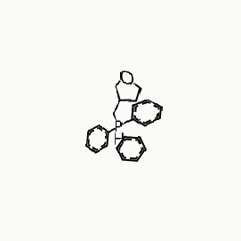 c1ccc([PH](CC2CCOC2)(c2ccccc2)c2ccccc2)cc1